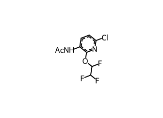 CC(=O)Nc1ccc(Cl)nc1OC(F)C(F)F